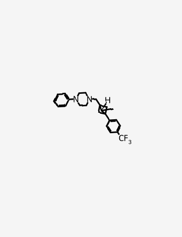 C[C@H]1C2(CN3CCN(c4ccccc4)CC3)CC1(c1ccc(C(F)(F)F)cc1)C2